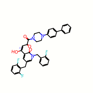 O=C(/C=C(/O)c1cc(Cc2c(F)cccc2F)cn(Cc2ccccc2F)c1=O)C(=O)N1CCN(c2ccc(-c3ccccc3)cc2)CC1